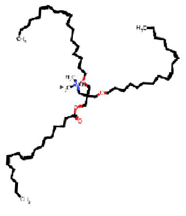 CCCCC/C=C\C/C=C\CCCCCCCCOCC(COCCCCCCCC/C=C\C/C=C\CCCCC)(COC(=O)CCCCCCC/C=C\C/C=C\CCCCC)C[N+](C)(C)C